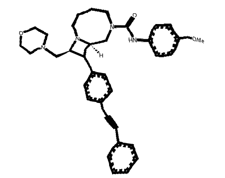 COc1ccc(NC(=O)N2CCCCN3[C@H](CN4CCOCC4)C(c4ccc(C#Cc5ccccc5)cc4)[C@@H]3C2)cc1